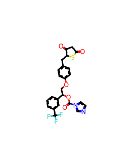 O=C1CC(=O)C(Cc2ccc(OCC(OC(=O)n3ccnc3)c3cccc(C(F)(F)F)c3)cc2)S1